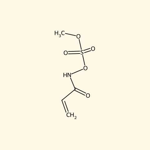 C=CC(=O)NOS(=O)(=O)OC